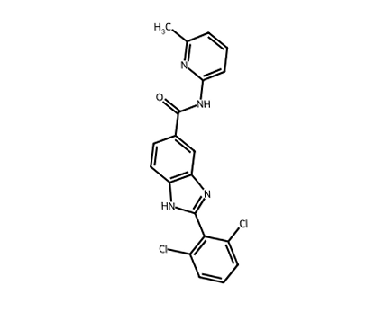 Cc1cccc(NC(=O)c2ccc3[nH]c(-c4c(Cl)cccc4Cl)nc3c2)n1